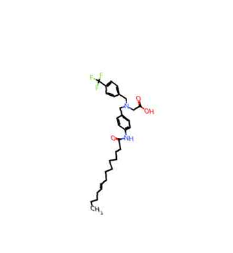 CCCC/C=C/CCCCCCCC(=O)Nc1ccc(CN(CC(=O)O)Cc2ccc(C(F)(F)F)cc2)cc1